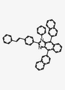 C(=C\c1ccc(-c2nc3c(-c4ccc5ccccc5c4)c4ccccc4c(-c4ccc5ccccc5c4)c3n2-c2ccccc2)cc1)/c1ccccc1